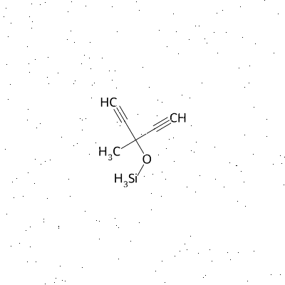 C#CC(C)(C#C)O[SiH3]